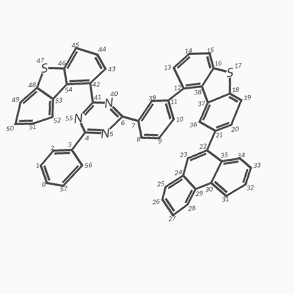 c1ccc(-c2nc(-c3cccc(-c4cccc5sc6ccc(-c7cc8ccccc8c8ccccc78)cc6c45)c3)nc(-c3cccc4sc5ccccc5c34)n2)cc1